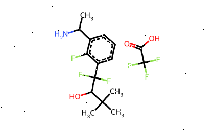 CC(N)c1cccc(C(F)(F)C(O)C(C)(C)C)c1F.O=C(O)C(F)(F)F